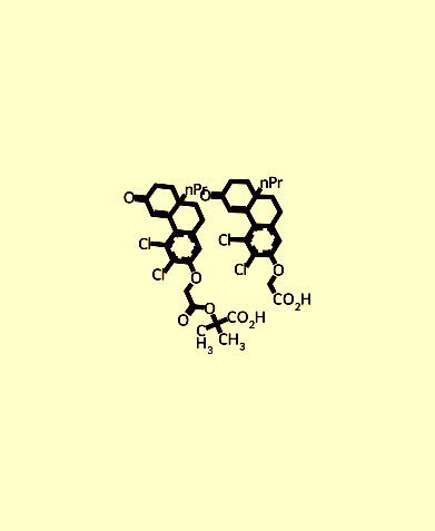 CCCC12CCC(=O)C=C1c1c(cc(OCC(=O)O)c(Cl)c1Cl)CC2.CCCC12CCC(=O)C=C1c1c(cc(OCC(=O)OC(C)(C)C(=O)O)c(Cl)c1Cl)CC2